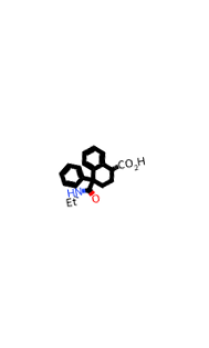 CCNC(=O)C1(c2ccccc2)CCC(C(=O)O)c2ccccc21